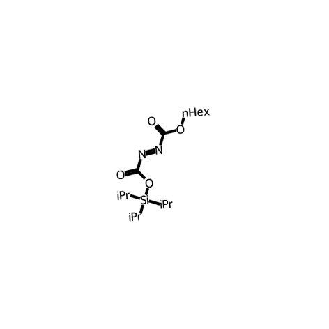 CCCCCCOC(=O)N=NC(=O)O[Si](C(C)C)(C(C)C)C(C)C